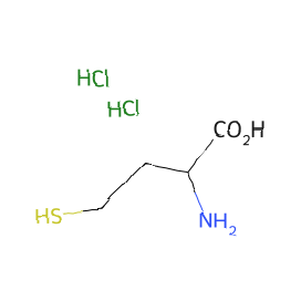 Cl.Cl.NC(CCS)C(=O)O